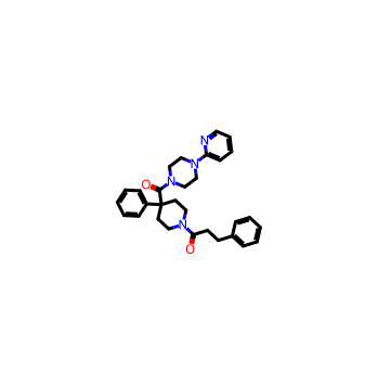 O=C(CCc1ccccc1)N1CCC(C(=O)N2CCN(c3ccccn3)CC2)(c2ccccc2)CC1